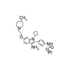 CC1CCN(CCOc2ccc3c(N)c(-c4ccc(NC(=O)OC(C)C)cc4)n(C4CCC4)c3c2)CC1